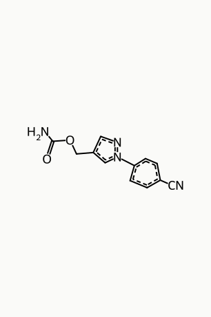 N#Cc1ccc(-n2cc(COC(N)=O)cn2)cc1